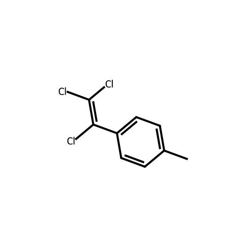 Cc1ccc(C(Cl)=C(Cl)Cl)cc1